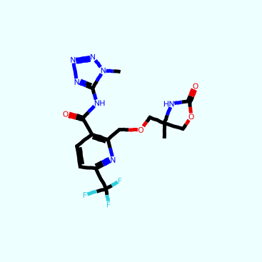 Cn1nnnc1NC(=O)c1ccc(C(F)(F)F)nc1COCC1(C)COC(=O)N1